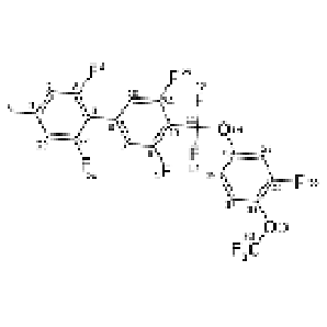 Cc1cc(F)c(-c2cc(F)c(C(F)(F)Oc3ccc(OC(F)(F)F)c(F)c3)c(F)c2)c(F)c1